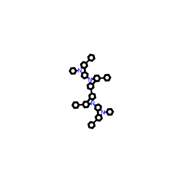 c1ccc(-c2ccc3c(c2)c2cc(-c4ccc5c(c4)c4cc(-c6ccccc6)ccc4n5-c4ccc5c(c4)c4cc(-c6ccccc6)ccc4n5-c4ccccc4)ccc2n3-c2ccc3c(c2)c2cc(-c4ccccc4)ccc2n3-c2ccccc2)cc1